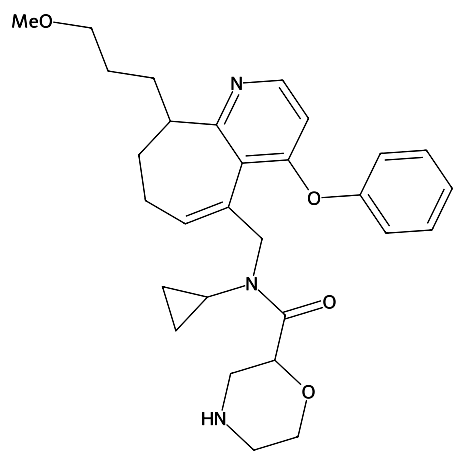 COCCCC1CCC=C(CN(C(=O)C2CNCCO2)C2CC2)c2c(Oc3ccccc3)ccnc21